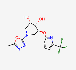 Cc1nnc(N2C[C@H](Oc3cccc(C(F)(F)F)n3)[C@@H](O)[C@@H](O)C2)o1